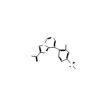 Cc1cc(S(C)(=O)=O)ccc1-c1cncn2cc(C(=O)O)nc12